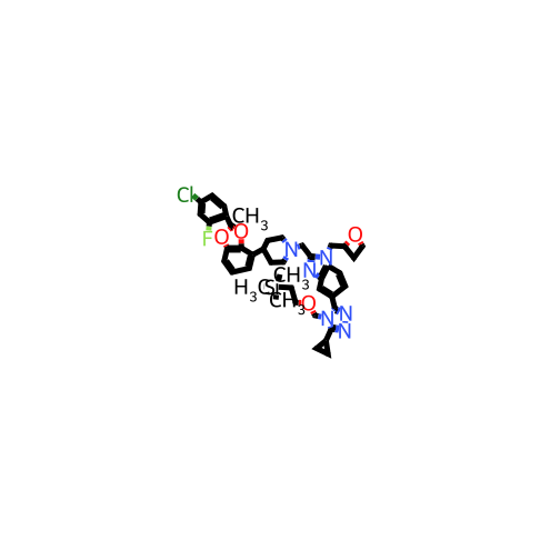 CC1(c2ccc(Cl)cc2F)Oc2cccc(C3CCN(Cc4nc5cc(-c6nnc(C7CC7)n6COCC[Si](C)(C)C)ccc5n4CC4CCO4)CC3)c2O1